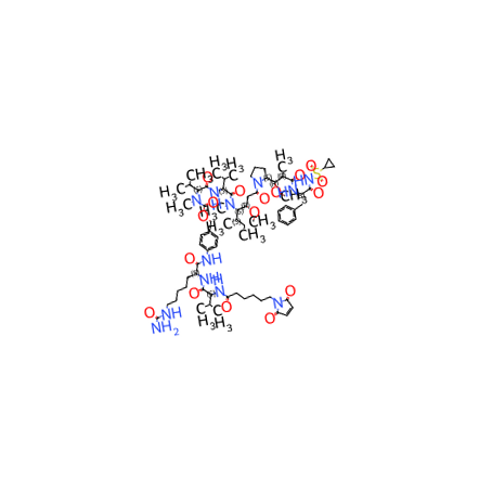 CC[C@H](C)[C@@H]([C@@H](CC(=O)N1CCC[C@H]1[C@H](OC)[C@@H](C)C(=O)N[C@@H](Cc1ccccc1)C(=O)NS(=O)(=O)C1CC1)OC)N(C)C(=O)[C@@H](NC(=O)[C@H](C(C)C)N(C)C(=O)OCc1ccc(NC(=O)[C@H](CCCCCNC(N)=O)NC(=O)[C@@H](NC(=O)CCCCCN2C(=O)C=CC2=O)C(C)C)cc1)C(C)C